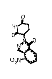 O=C1CCC(n2ncc3c([N+](=O)[O-])cccc3c2=O)C(=O)N1